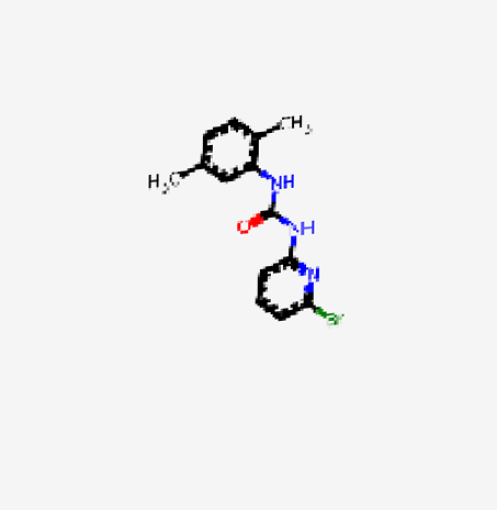 Cc1ccc(C)c(NC(=O)Nc2cccc(Br)n2)c1